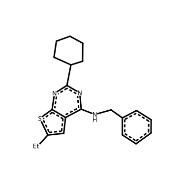 CCc1cc2c(NCc3ccccc3)nc(C3CCCCC3)nc2s1